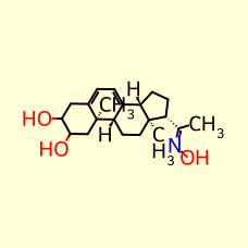 CC(=NO)[C@H]1CC[C@H]2C3=CC=C4CC(O)C(O)C[C@]4(C)[C@H]3CC[C@]12C